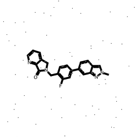 Cn1cc2ccc(-c3ccc(CN4Cc5cccnc5C4=O)c(F)c3)cc2n1